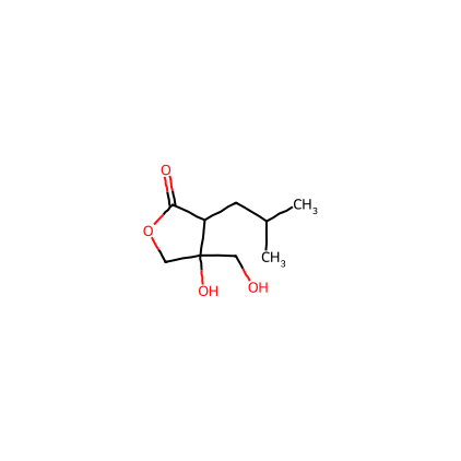 CC(C)CC1C(=O)OCC1(O)CO